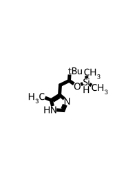 Cc1[nH]cnc1CC(O[SiH](C)C)C(C)(C)C